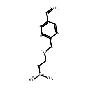 C=Cc1ccc(COCCN(C)C(C)(C)C)cc1